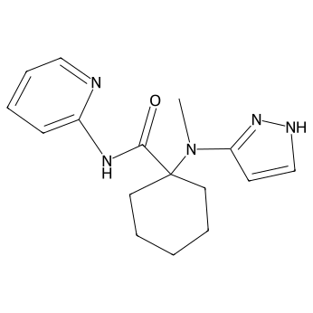 CN(c1cc[nH]n1)C1(C(=O)Nc2ccccn2)CCCCC1